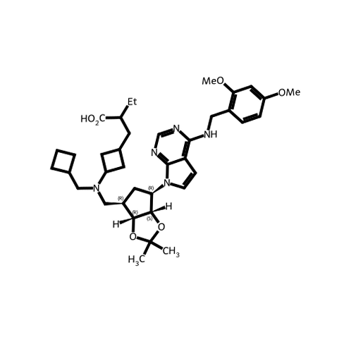 CCC(CC1CC(N(CC2CCC2)C[C@H]2C[C@@H](n3ccc4c(NCc5ccc(OC)cc5OC)ncnc43)[C@@H]3OC(C)(C)O[C@H]23)C1)C(=O)O